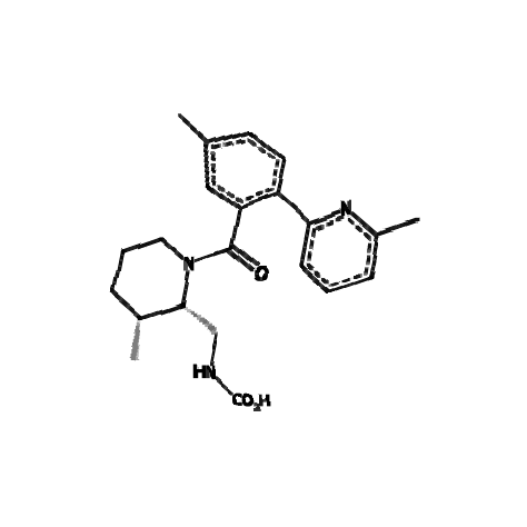 Cc1ccc(-c2cccc(C)n2)c(C(=O)N2CCC[C@@H](C)[C@H]2CNC(=O)O)c1